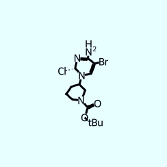 CC(C)(C)OC(=O)N1CCCC(N2C=C(Br)C(N)=N[C@H]2Cl)C1